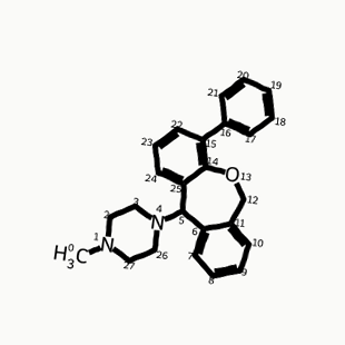 CN1CCN(C2c3ccccc3COc3c(-c4ccccc4)cccc32)CC1